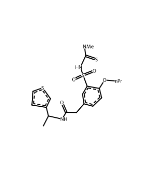 CCCOc1ccc(CC(=O)NC(C)c2ccsc2)cc1S(=O)(=O)NC(=S)NC